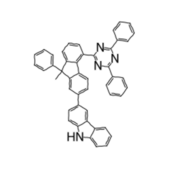 CC1(c2ccccc2)c2cc(-c3ccc4[nH]c5ccccc5c4c3)ccc2-c2c(-c3nc(-c4ccccc4)nc(-c4ccccc4)n3)cccc21